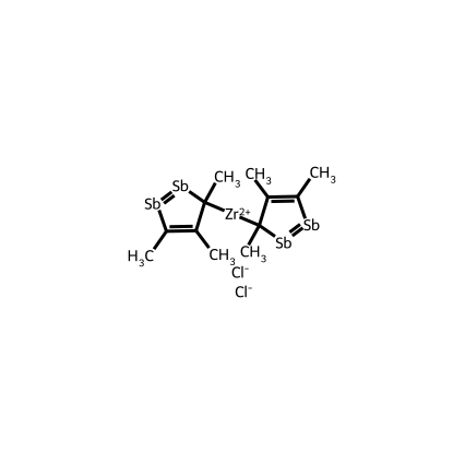 C[C]1=C(C)[C](C)([Zr+2][C]2(C)[Sb]=[Sb][C](C)=C2C)[Sb]=[Sb]1.[Cl-].[Cl-]